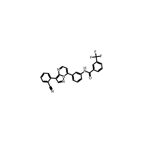 N#Cc1ccccc1-c1cnn2c(-c3cccc(NC(=O)c4cccc(C(F)(F)F)c4)c3)ccnc12